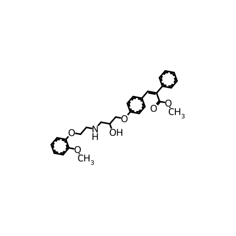 COC(=O)C(=Cc1ccc(OCC(O)CNCCOc2ccccc2OC)cc1)c1ccccc1